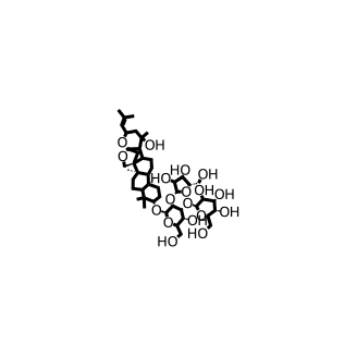 CC(C)=CC1CC(C)(O)C2C3CCC4[C@@]5(C)CC[C@H](O[C@@H]6OC(CO)[C@@H](O)[C@@H](O[C@@H]7OC(CO)[C@@H](O)[C@@H](O)C7O)C6O[C@@H]6O[C@@H](CO)[C@@H](O)C6O)C(C)(C)C5CC[C@@]4(C)[C@@]34CO[C@@]2(C4)O1